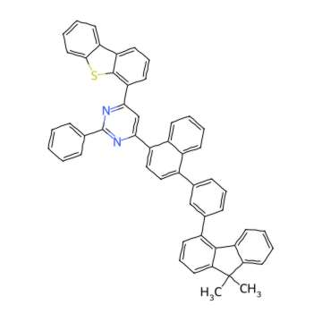 CC1(C)c2ccccc2-c2c(-c3cccc(-c4ccc(-c5cc(-c6cccc7c6sc6ccccc67)nc(-c6ccccc6)n5)c5ccccc45)c3)cccc21